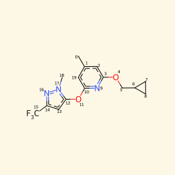 Cc1cc(OCC2CC2)nc(Oc2cc(C(F)(F)F)nn2C)c1